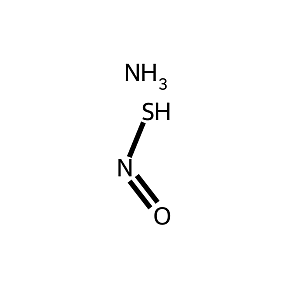 N.O=NS